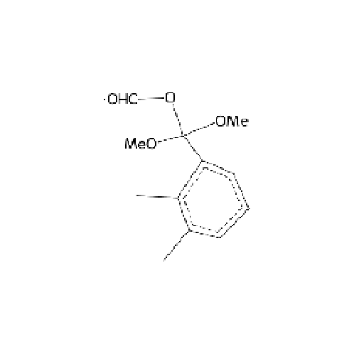 COC(OC)(O[C]=O)c1cccc(C)c1C